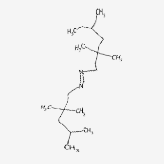 CC(C)CC(C)(C)CN=NCC(C)(C)CC(C)C